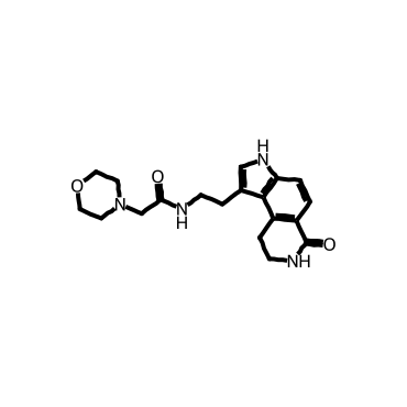 O=C(CN1CCOCC1)NCCc1c[nH]c2ccc3c(c12)CCNC3=O